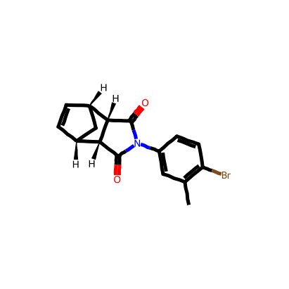 Cc1cc(N2C(=O)[C@@H]3[C@H](C2=O)[C@@H]2C=C[C@H]3C2)ccc1Br